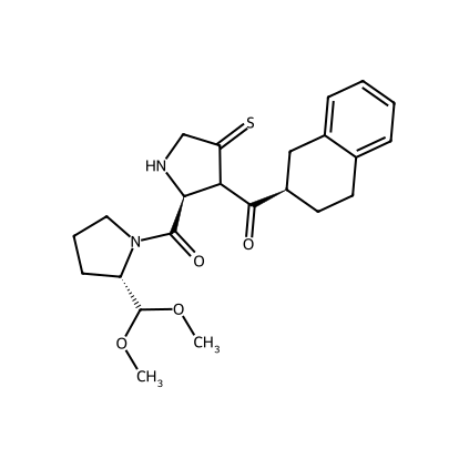 COC(OC)[C@@H]1CCCN1C(=O)[C@H]1NCC(=S)C1C(=O)[C@@H]1CCc2ccccc2C1